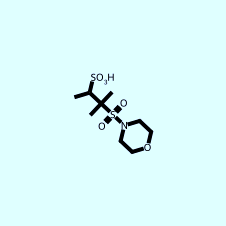 CC(C(C)(C)S(=O)(=O)N1CCOCC1)S(=O)(=O)O